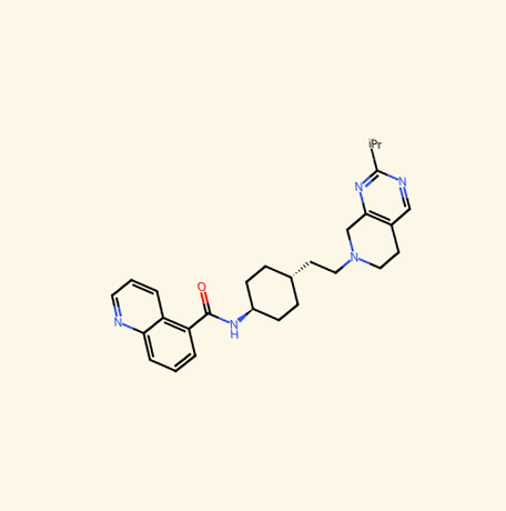 CC(C)c1ncc2c(n1)CN(CC[C@H]1CC[C@H](NC(=O)c3cccc4ncccc34)CC1)CC2